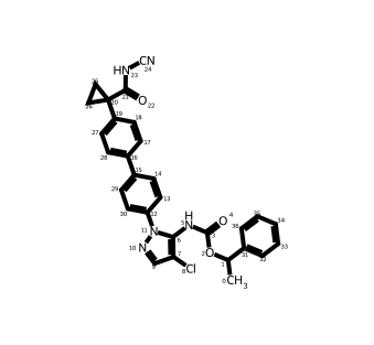 CC(OC(=O)Nc1c(Cl)cnn1-c1ccc(-c2ccc(C3(C(=O)NC#N)CC3)cc2)cc1)c1ccccc1